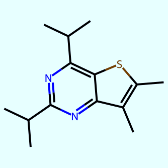 Cc1sc2c(C(C)C)nc(C(C)C)nc2c1C